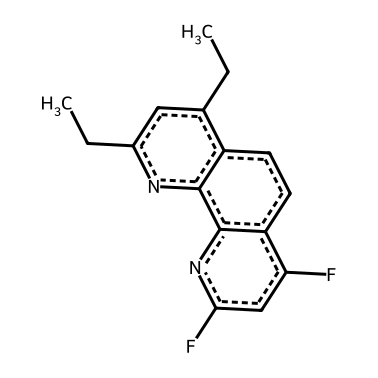 CCc1cc(CC)c2ccc3c(F)cc(F)nc3c2n1